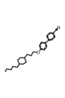 CCCCCC1CCC(CCCOc2ccc(-c3ccc(C#N)cc3)cc2)CC1